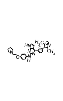 Cc1noc(C)c1-c1ccc(-c2nc(Nc3ccc(OCCN4CCCC4)cc3)nc3[nH]ccc23)s1